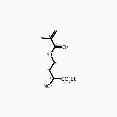 C=C(C)C(=O)OCCC(C#N)C(=O)OCC